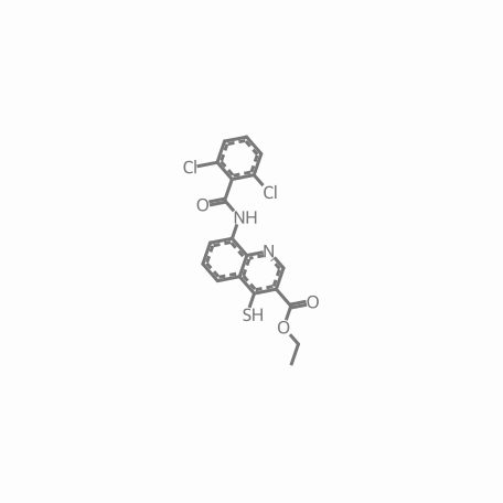 CCOC(=O)c1cnc2c(NC(=O)c3c(Cl)cccc3Cl)cccc2c1S